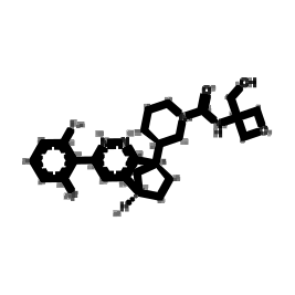 O=C(NC1(CO)COC1)N1CCC[C@H]([C@]23CC[C@H](C2)c2cc(-c4c(F)cccc4F)nnc23)C1